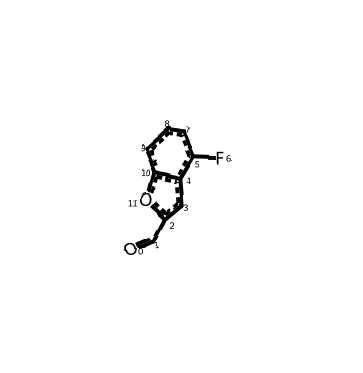 O=Cc1cc2c(F)cccc2o1